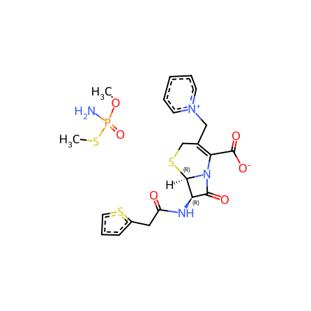 COP(N)(=O)SC.O=C(Cc1cccs1)N[C@@H]1C(=O)N2C(C(=O)[O-])=C(C[n+]3ccccc3)CS[C@H]12